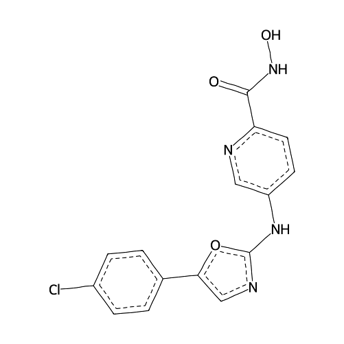 O=C(NO)c1ccc(Nc2ncc(-c3ccc(Cl)cc3)o2)cn1